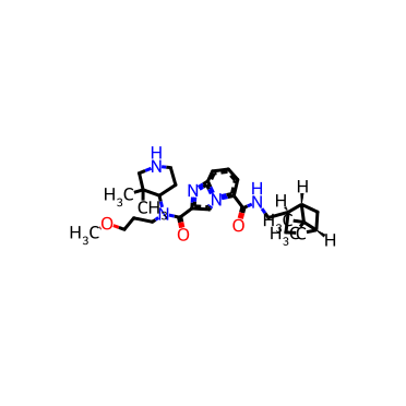 COCCCN(C(=O)c1cn2c(C(=O)NC[C@@H]3CC[C@H]4C[C@@H]3C4(C)C)cccc2n1)C1CCNCC1(C)C